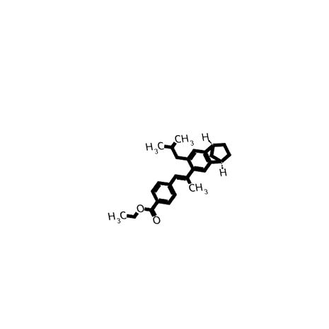 CCOC(=O)c1ccc(C=C(C)c2cc3c(cc2CC(C)C)[C@H]2CC[C@@H]3C2)cc1